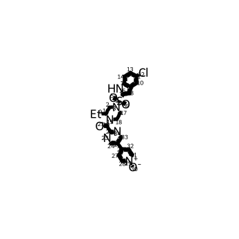 CCC1CN(S(=O)(=O)c2cc3cc(Cl)ccc3[nH]2)CCN1C(=O)c1ncc(-c2cc[n+]([O-])cc2)cn1